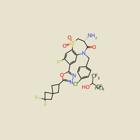 Cl.N[C@H]1CS(=O)(=O)c2cc(F)c(-c3nnc(C4CC5(C4)CC(F)(F)C5)o3)cc2N(Cc2ccc(Cl)cc2)C1=O.OC(C(F)(F)F)C(F)(F)F